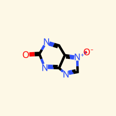 O=C1N=CC2=[N+]([O-])C=NC2=N1